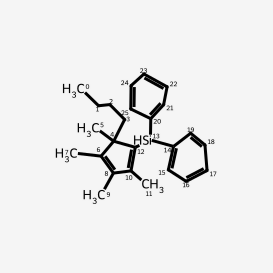 CCCCC1(C)C(C)=C(C)C(C)=C1[SiH](c1ccccc1)c1ccccc1